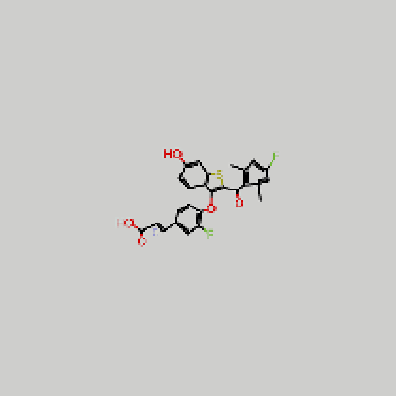 Cc1cc(F)cc(C)c1C(=O)c1sc2cc(O)ccc2c1Oc1ccc(/C=C/C(=O)O)cc1F